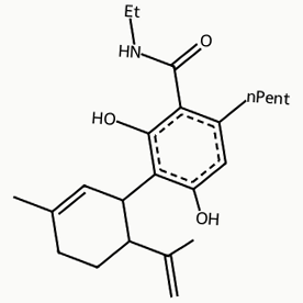 C=C(C)C1CCC(C)=CC1c1c(O)cc(CCCCC)c(C(=O)NCC)c1O